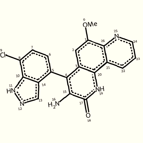 COc1cc2c(-c3ccc(Cl)c4[nH]ncc34)c(N)c(=O)[nH]c2c2cccnc12